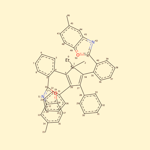 CC[Si]1(C)C(c2ccccc2-c2nc3cc(C)ccc3o2)=C(c2ccccc2)C(c2ccccc2)=C1c1ccccc1-c1nc2cc(C)ccc2o1